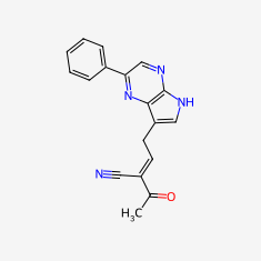 CC(=O)/C(C#N)=C/Cc1c[nH]c2ncc(-c3ccccc3)nc12